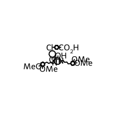 COc1ccc(CCCCN2CCCN(CCCCc3ccc(OC)c(OC)c3)CC(C3CCCCCCCC3O)C(O)C2)cc1OC.O=C(O)c1ccc(Cl)cc1